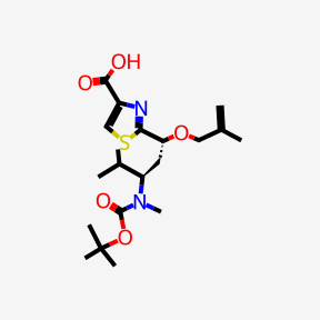 C=C(C)CO[C@H](C[C@H](C(C)C)N(C)C(=O)OC(C)(C)C)c1nc(C(=O)O)cs1